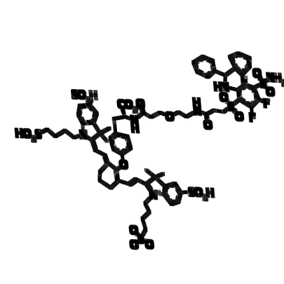 CC1(C)C(/C=C/C2=C(Oc3ccc(C[C@H](NC(=O)CCOCCNC(=O)CCS(=O)(=O)c4c(F)c(F)c(S(N)(=O)=O)c(F)c4NC(c4ccccc4)c4ccccc4)C(=O)O)cc3)C(=C/C=C3/N(CCCCS(=O)(=O)O)c4ccc(S(=O)(=O)O)cc4C3(C)C)/CCC2)=[N+](CCCCS(=O)(=O)[O-])c2ccc(S(=O)(=O)O)cc21